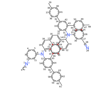 [C-]#[N+]c1cccc(N(C2=C3C=CC4=C5C(=CC=C(C=C2)C35)C(N(c2cccc(C#N)c2)c2ccc(-c3ccc(C)cc3)cc2-c2ccc(C)cc2)C=C4)c2ccc(-c3ccc(C)cc3)cc2-c2ccc(C)cc2)c1